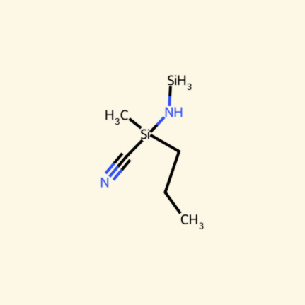 CCC[Si](C)(C#N)N[SiH3]